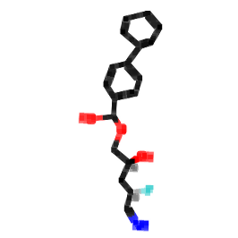 N=C[C@@H](F)C[C@H](O)COC(O)c1ccc(-c2ccccc2)cc1